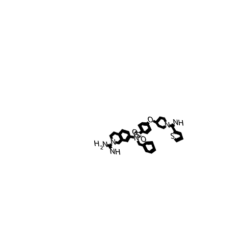 N=C(N)N1CCc2ccc(N(Cc3ccccc3)S(=O)(=O)c3ccc(OC4CCN(C(=N)c5cccs5)CC4)cc3)cc2C1